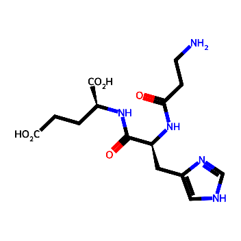 NCCC(=O)N[C@@H](Cc1c[nH]cn1)C(=O)N[C@@H](CCC(=O)O)C(=O)O